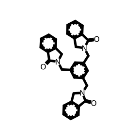 O=C1c2ccccc2CN1Cc1cc(CN2Cc3ccccc3C2=O)cc(CN2Cc3ccccc3C2=O)c1